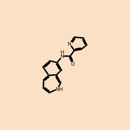 O=C(Nc1ccc2c(c1)=CNC=CC=2)c1ccccn1